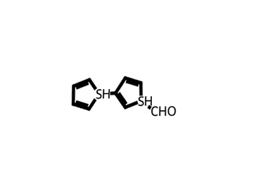 O=C[SH]1C=CC([SH]2C=CC=C2)=C1